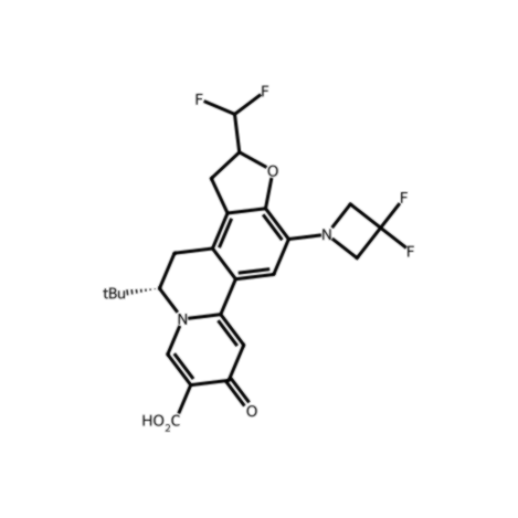 CC(C)(C)[C@@H]1Cc2c(cc(N3CC(F)(F)C3)c3c2CC(C(F)F)O3)-c2cc(=O)c(C(=O)O)cn21